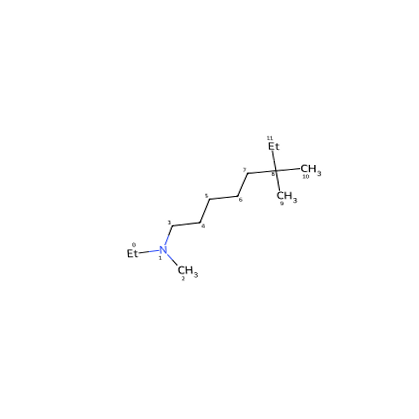 CCN(C)CCCCCC(C)(C)CC